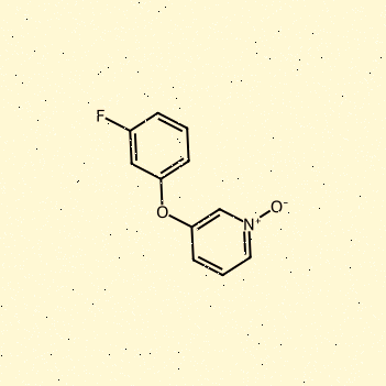 [O-][n+]1cccc(Oc2cccc(F)c2)c1